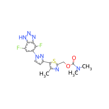 Cc1nc(COC(=O)N(C)C)sc1-c1ccn(-c2cc(F)c3[nH]nnc3c2F)n1